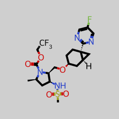 C[C@@H]1C[C@H](NS(C)(=O)=O)[C@H](CO[C@H]2CC[C@@]3(c4ncc(F)cn4)C[C@H]3C2)N1C(=O)OCC(F)(F)F